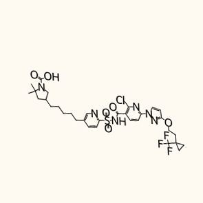 CC1(C)CC(CCCCCc2ccc(S(=O)(=O)NC(=O)c3ccc(-n4ccc(OCCC5(C(F)(F)F)CC5)n4)nc3Cl)nc2)CN1C(=O)O